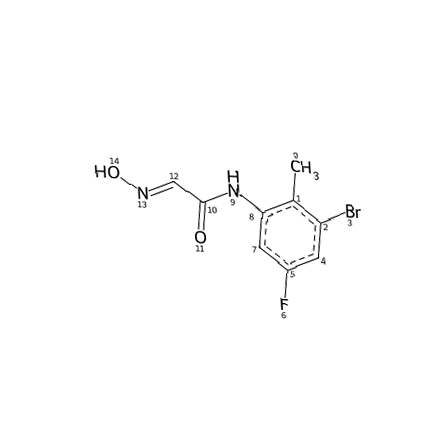 Cc1c(Br)cc(F)cc1NC(=O)C=NO